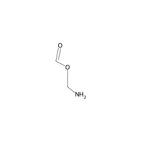 NCOC=O